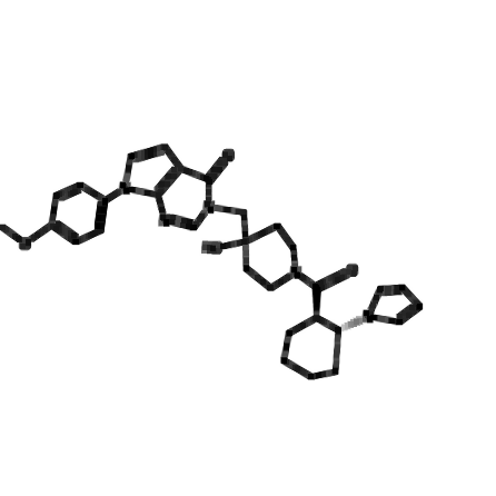 COc1ccc(-n2ccc3c(=O)n(CC4(O)CCN(C(=O)[C@@H]5CCCC[C@H]5n5cccc5)CC4)cnc32)cc1